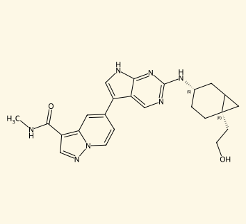 CNC(=O)c1cnn2ccc(-c3c[nH]c4nc(N[C@H]5CC[C@]6(CCO)CC6C5)ncc34)cc12